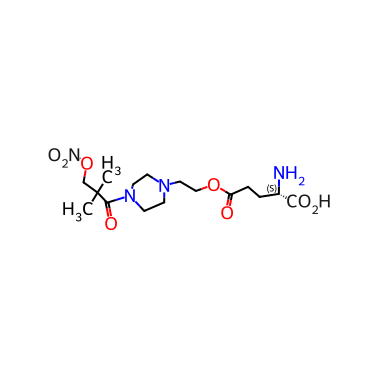 CC(C)(CO[N+](=O)[O-])C(=O)N1CCN(CCOC(=O)CC[C@H](N)C(=O)O)CC1